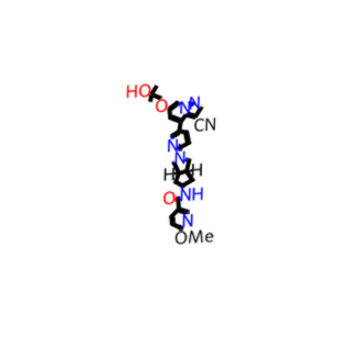 COc1ccc(C(=O)NC2C[C@@H]3CN(c4ccc(-c5cc(OCC(C)(C)O)cn6ncc(C#N)c56)cn4)C[C@@H]3C2)cn1